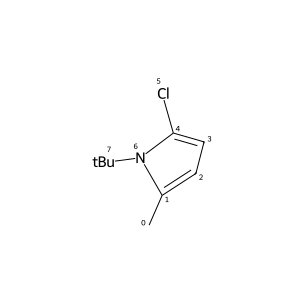 Cc1ccc(Cl)n1C(C)(C)C